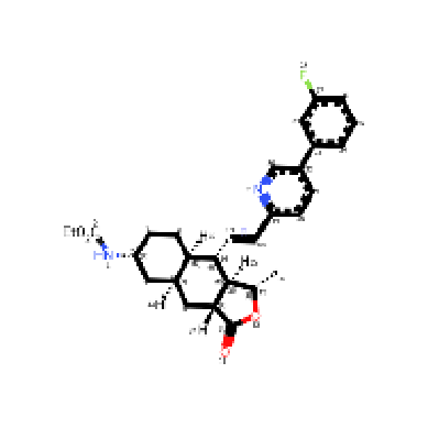 CCOC(=O)N[C@@H]1CC[C@@H]2[C@H](C1)C[C@H]1C(=O)O[C@@H](C)[C@@H]1[C@H]2/C=C/c1ccc(-c2cccc(F)c2)cn1